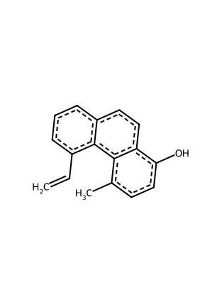 C=Cc1cccc2ccc3c(O)ccc(C)c3c12